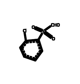 O=CS(=O)(=O)c1ccccc1Cl